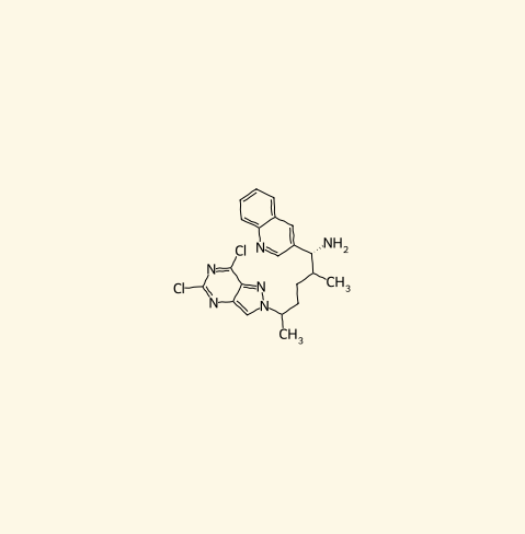 CC(CCC(C)n1cc2nc(Cl)nc(Cl)c2n1)[C@@H](N)c1cnc2ccccc2c1